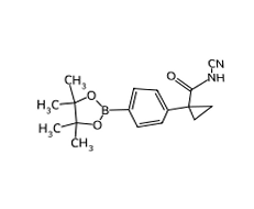 CC1(C)OB(c2ccc(C3(C(=O)NC#N)CC3)cc2)OC1(C)C